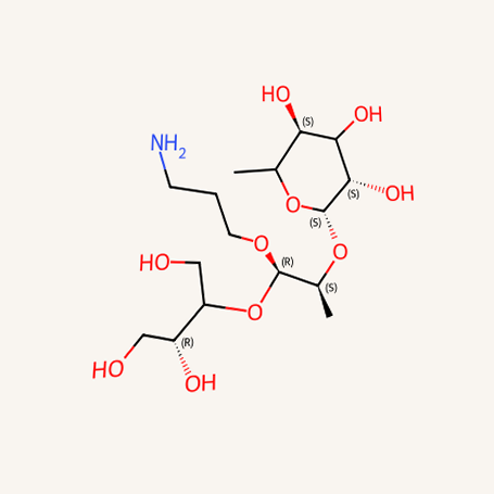 CC1O[C@@H](O[C@@H](C)[C@H](OCCCN)OC(CO)[C@H](O)CO)[C@@H](O)C(O)[C@@H]1O